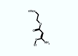 CCCCCCCCOC(=O)C=C(N)SCC